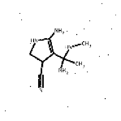 CNC(C)(N)C1=C(N)NCC1C#N